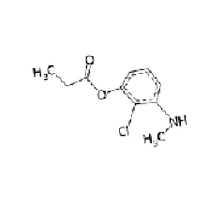 CCC(=O)Oc1cccc(NC)c1Cl